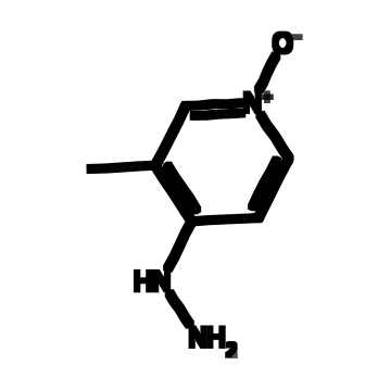 Cc1c[n+]([O-])ccc1NN